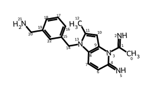 CC(=N)n1c(=N)ccc2c1cc(C)n2Cc1cccc(CN)c1